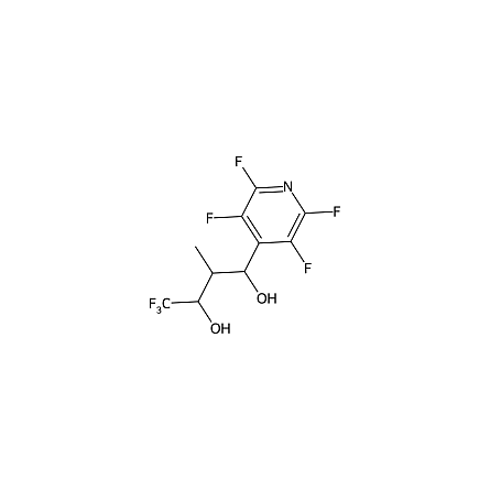 CC(C(O)c1c(F)c(F)nc(F)c1F)C(O)C(F)(F)F